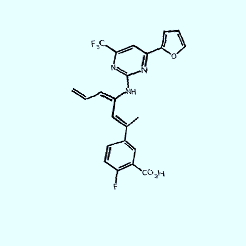 C=C/C=C(\C=C(/C)c1ccc(F)c(C(=O)O)c1)Nc1nc(-c2ccco2)cc(C(F)(F)F)n1